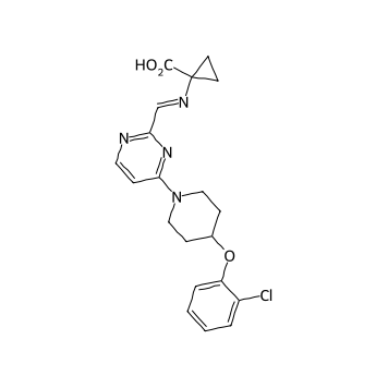 O=C(O)C1(N=Cc2nccc(N3CCC(Oc4ccccc4Cl)CC3)n2)CC1